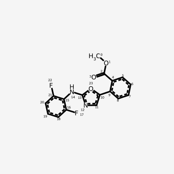 COC(=O)c1ccccc1-c1cnc(Nc2c(F)cccc2F)o1